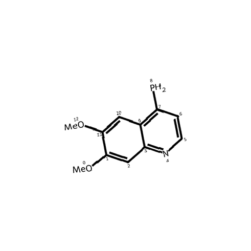 COc1cc2nccc(P)c2cc1OC